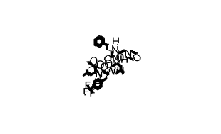 CC(C)CC(NC(=O)[C@H](CCc1ccccc1)NC(=O)CN1CCOCC1)C(=O)N[C@@H](Cc1ccc(C(F)(F)F)cc1)C(=O)NC(CC(C)C)C(=O)[C@@]1(C)CO1